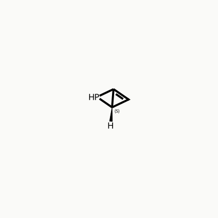 C1=C2P[C@@H]12